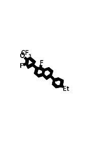 CCc1ccc(-c2ccc3c(F)c(-c4ccc(OC(F)(F)F)c(F)c4)ccc3c2)cc1